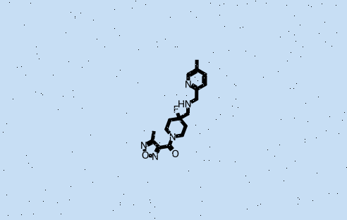 Cc1ccc(CNCC2(F)CCN(C(=O)c3nonc3C)CC2)nc1